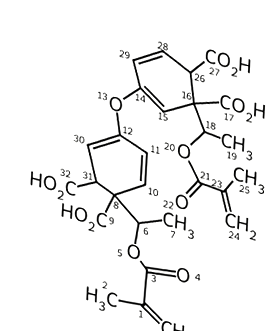 C=C(C)C(=O)OC(C)C1(C(=O)O)C=CC(OC2=CC(C(=O)O)(C(C)OC(=O)C(=C)C)C(C(=O)O)C=C2)=CC1C(=O)O